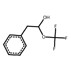 OC(Cc1ccccc1)OC(F)(F)F